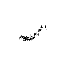 NCOCCOCCOCCNC(=O)c1ccc2ccc(C(=O)Nc3ccc4c(c3)C(=O)N(C3CCC(=O)NC3O)C4)nc2c1